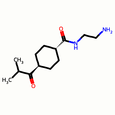 CC(C)C(=O)[C@H]1CC[C@H](C(=O)NCCN)CC1